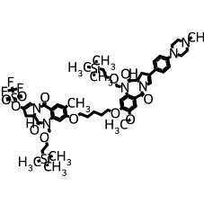 COc1cc2c(cc1OCCCCCOc1cc3c(cc1C)C(=O)N1C=C(OS(=O)(=O)C(F)(F)F)C[C@H]1C(=O)N3COCC[Si](C)(C)C)N(COCC[Si](C)(C)C)C(=O)[C@@H]1CC(c3ccc(N4CCN(C)CC4)cc3)=CN1C2=O